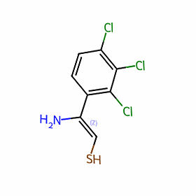 N/C(=C\S)c1ccc(Cl)c(Cl)c1Cl